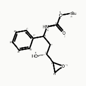 CC(C)(C)OC(=O)NC(C[C@@H](O)C1CO1)c1ccccc1